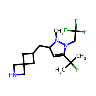 CN1C(CC2CC3(CNC3)C2)C=C(C(C)(C)F)N1CC(F)(F)F